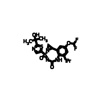 CC(C)c1cc(OC(F)F)cc2c1NC(=O)N=S(=O)(c1cnc(C(C)(C)O)s1)N1CC21